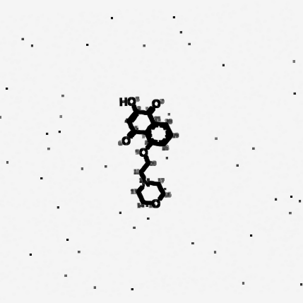 O=C1C(O)=CC(=O)c2c(OCCN3CCOCC3)cccc21